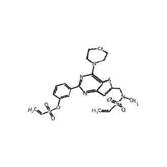 C=CS(=O)(=O)Oc1cccc(-c2nc(N3CCOCC3)c3sc(CN(C)S(=O)(=O)C=C)cc3n2)c1